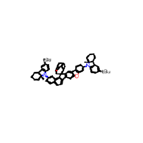 CC(C)(C)c1ccc2c(c1)C1CCCCC1(C)N2c1ccc2c(c1)oc1cc3c(cc12)C1(c2c-3ccc3ccc(N4c5ccc(C(C)(C)C)cc5C5CCCCC54C)cc23)C2CC3CC(C2)CC1C3